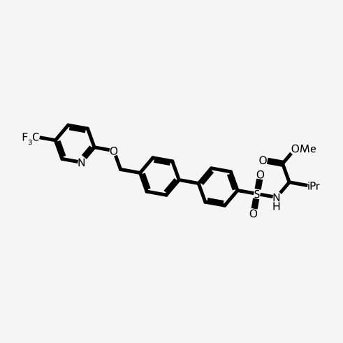 COC(=O)C(NS(=O)(=O)c1ccc(-c2ccc(COc3ccc(C(F)(F)F)cn3)cc2)cc1)C(C)C